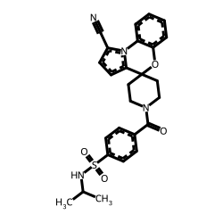 CC(C)NS(=O)(=O)c1ccc(C(=O)N2CCC3(CC2)Oc2ccccc2-n2c(C#N)ccc23)cc1